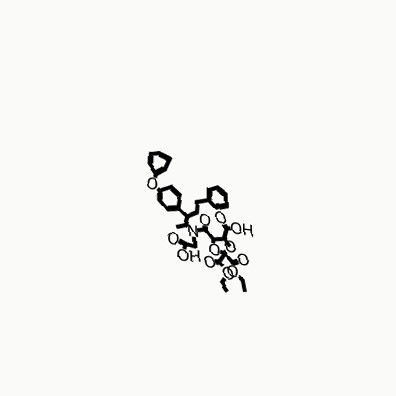 CCOC(=O)C1(C(=O)OCC)OC(C(=O)O)C(C(=O)N(CC(=O)O)C(C)C(CCc2ccccc2)c2ccc(Oc3ccccc3)cc2)O1